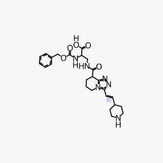 O=C(NC(CNC(=O)C1CCCn2c(/C=C/C3CCNCC3)nnc21)C(=O)O)OCc1ccccc1